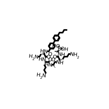 CCCCc1ccc(-c2ccc(C(=O)N[C@@H](CCN)C(=O)N[C@@H](CCCCN)C(=O)N[C@@H](C)C(=O)N[C@@H](CCCCN)C(=O)N[C@@H](C)B(O)O)cc2)cc1